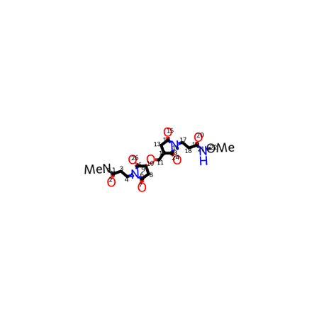 CNC(=O)CCN1C(=O)CC(OCC2CC(=O)N(CCC(=O)NOC)C2=O)C1=O